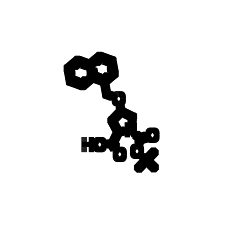 CC(C)(C)OC(=O)N1CC(OCc2cccc3ccccc23)CC1C(=O)O